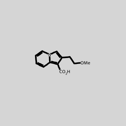 COCCc1cn2ccccc2c1C(=O)O